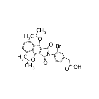 CC(C)Oc1c2c(c(OC(C)C)c3ccccc13)C(=O)N(c1ccc(CC(=O)O)cc1Br)C2=O